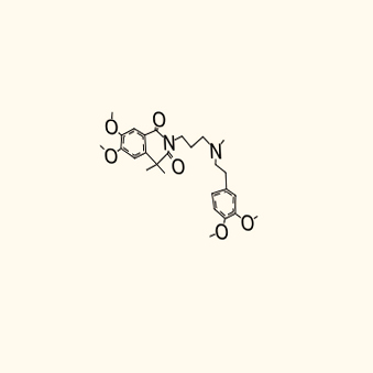 COc1ccc(CCN(C)CCCN2C(=O)c3cc(OC)c(OC)cc3C(C)(C)C2=O)cc1OC